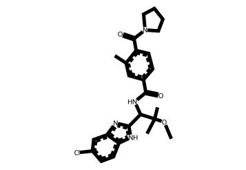 COC(C)(C)C(NC(=O)c1ccc(C(=O)N2CCCC2)c(C)c1)c1nc2cc(Cl)ccc2[nH]1